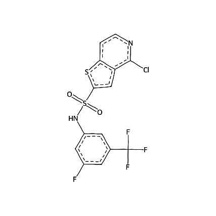 O=S(=O)(Nc1cc(F)cc(C(F)(F)F)c1)c1cc2c(Cl)nccc2s1